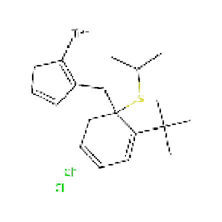 CC(C)SC1(CC2=[C]([Ti+2])CC=C2)CC=CC=C1C(C)(C)C.[Cl-].[Cl-]